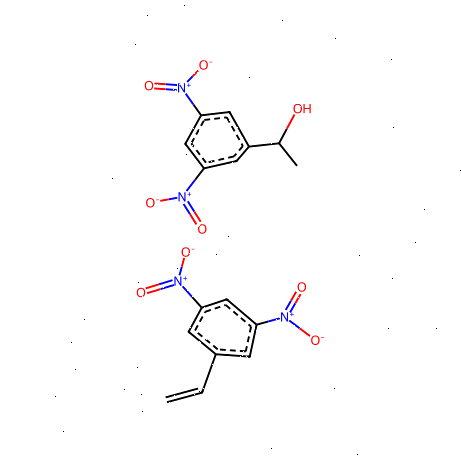 C=Cc1cc([N+](=O)[O-])cc([N+](=O)[O-])c1.CC(O)c1cc([N+](=O)[O-])cc([N+](=O)[O-])c1